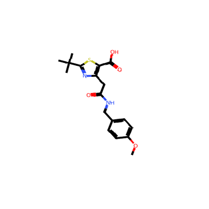 COc1ccc(CNC(=O)Cc2nc(C(C)(C)C)sc2C(=O)O)cc1